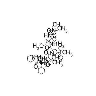 C=C[C@@H]1C[C@]1(NC(=O)[C@@H]1C[C@@]2(CN1C(=O)[C@@H](NC(=O)C(NC(=O)[C@@H]1CCCCN1CC)C1CCCCC1)C(C)(C)C)C(C)(C)C21CCC1)C(=O)NS(=O)(=O)N(CC)CC